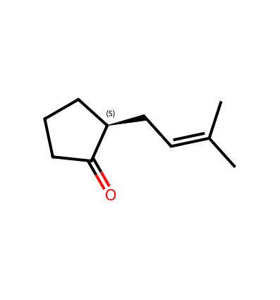 CC(C)=CC[C@@H]1CCCC1=O